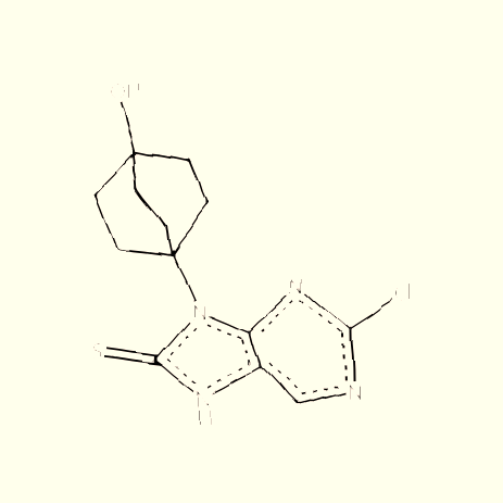 OC12CCC(n3c(=S)[nH]c4cnc(Cl)nc43)(CC1)CC2